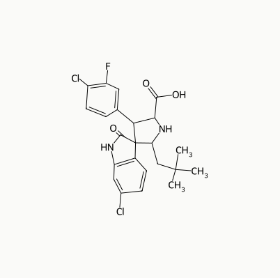 CC(C)(C)CC1NC(C(=O)O)C(c2ccc(Cl)c(F)c2)C12C(=O)Nc1cc(Cl)ccc12